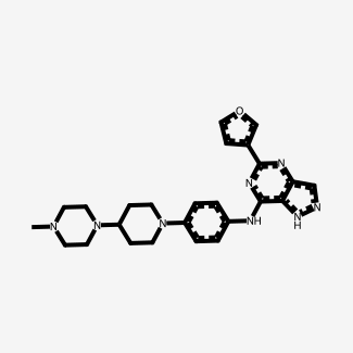 CN1CCN(C2CCN(c3ccc(Nc4nc(-c5ccoc5)nc5cn[nH]c45)cc3)CC2)CC1